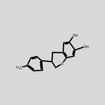 Cc1ccc(C2COc3cc(O)c(O)cc3C2)cc1